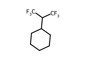 FC(F)(F)C(C1CCCCC1)C(F)(F)F